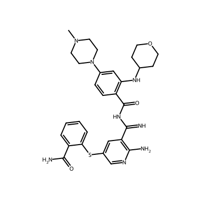 CN1CCN(c2ccc(C(=O)NC(=N)c3cc(Sc4ccccc4C(N)=O)cnc3N)c(NC3CCOCC3)c2)CC1